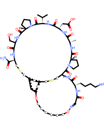 CC(C)[C@@H]1NC(=O)[C@H](CC(=O)O)NC(=O)[C@H](C)NC(=O)[C@@H]2CCCN2C(=O)[C@@H]2CSCc3cc(cc(c3)OCCCCCCO/N=C/C(=O)N[C@@H](CCCCN)C(=O)N2)CSC[C@@H](C(N)=O)NC(=O)C(CO)NC(=O)[C@@H]2CCCN2C1=O